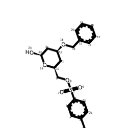 Cc1ccc(S(=O)(=O)OC[C@@H]2C[C@H](OCc3ccccc3)C[C@H](O)O2)cc1